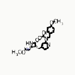 CO/N=C/[C@H]1NC(=O)[C@@H]1Cc1ccnc(N(Cc2ccc(OC)cc2)C(=O)O)c1